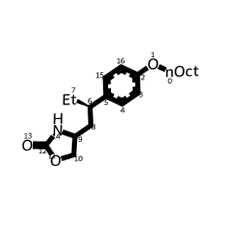 CCCCCCCCOc1ccc([C@H](CC)CC2COC(=O)N2)cc1